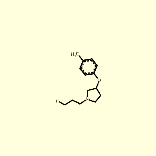 Cc1ccc(OC2CCN(CCCF)C2)cc1